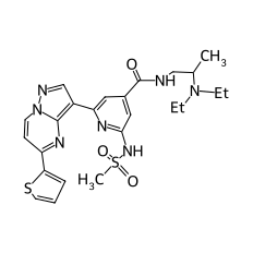 CCN(CC)C(C)CNC(=O)c1cc(NS(C)(=O)=O)nc(-c2cnn3ccc(-c4cccs4)nc23)c1